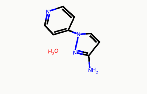 Nc1ccn(-c2ccncc2)n1.O